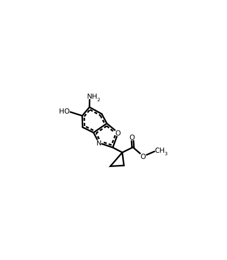 COC(=O)C1(c2nc3cc(O)c(N)cc3o2)CC1